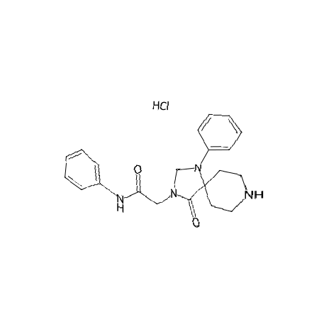 Cl.O=C(CN1CN(c2ccccc2)C2(CCNCC2)C1=O)Nc1ccccc1